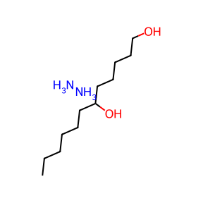 CCCCCCC(O)CCCCCO.N.N